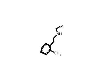 Cc1ccccc1CCNCC(C)C